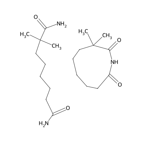 CC(C)(CCCCCC(N)=O)C(N)=O.CC1(C)CCCCCC(=O)NC1=O